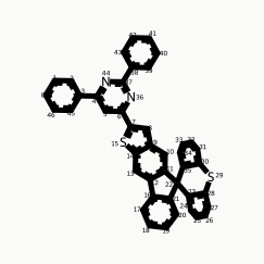 c1ccc(-c2cc(-c3cc4cc5c(cc4s3)-c3ccccc3C53c4ccccc4Sc4ccccc43)nc(-c3ccccc3)n2)cc1